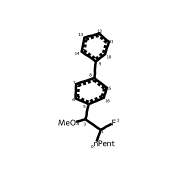 CCCCCC(F)C(OC)c1ccc(-c2ccccc2)cc1